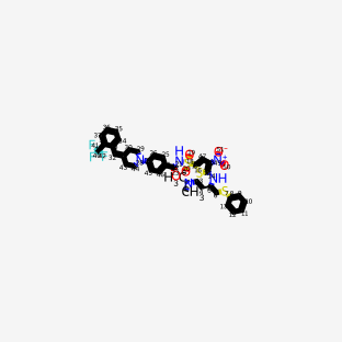 CN(C)CC[C@H](CSc1ccccc1)Nc1sc(S(=O)(=O)NC(=O)c2ccc(N3CCC(=Cc4ccccc4C(F)(F)F)CC3)cc2)cc1[N+](=O)[O-]